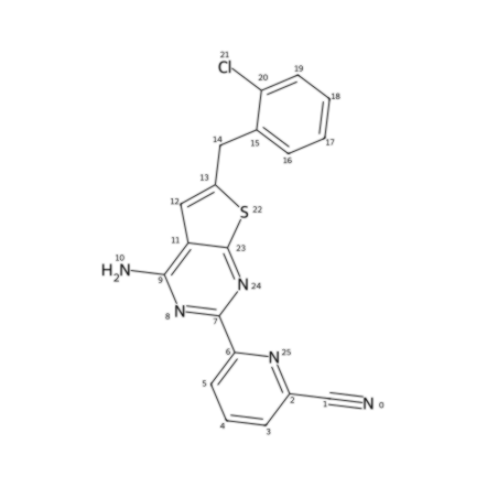 N#Cc1cccc(-c2nc(N)c3cc(Cc4ccccc4Cl)sc3n2)n1